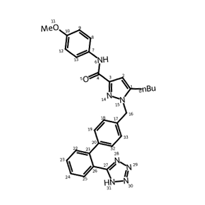 CCCCc1cc(C(=O)Nc2ccc(OC)cc2)nn1Cc1ccc(-c2ccccc2-c2nnn[nH]2)cc1